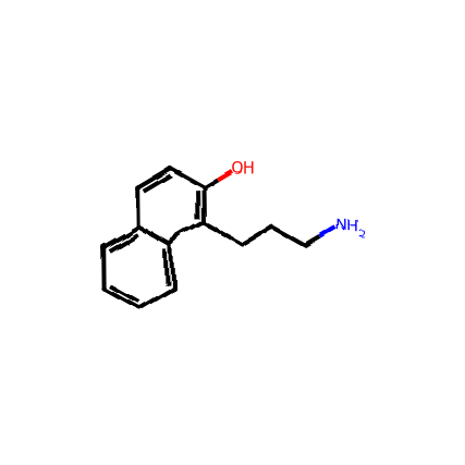 NCCCc1c(O)ccc2ccccc12